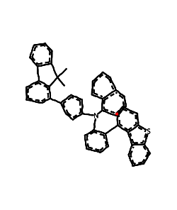 CC1(C)c2ccccc2-c2cccc(-c3ccc(N(c4ccccc4-c4cccc5sc6ccccc6c45)c4cccc5ccccc45)cc3)c21